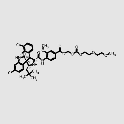 COCCOCCOC(=O)OCOC(=O)c1ccc(NC(=O)[C@@H]2N[C@@H](CC(C)(C)C)[C@@]3(C(=O)Nc4cc(Cl)ccc43)[C@H]2c2cccc(Cl)c2F)c(OC)c1